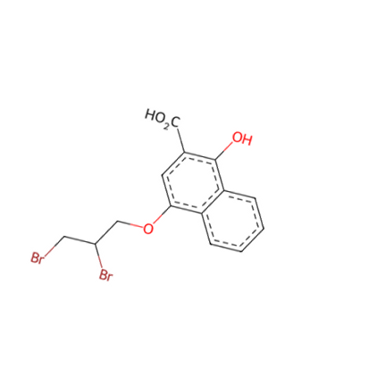 O=C(O)c1cc(OCC(Br)CBr)c2ccccc2c1O